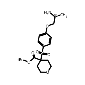 C[C@H](N)COc1ccc(S(=O)(=O)C2(C(=O)OC(C)(C)C)CCOCC2)cc1